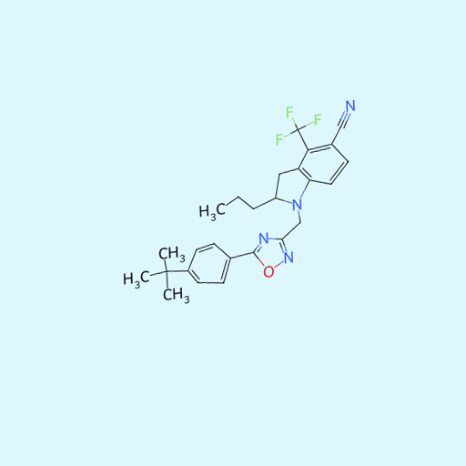 CCCC1Cc2c(ccc(C#N)c2C(F)(F)F)N1Cc1noc(-c2ccc(C(C)(C)C)cc2)n1